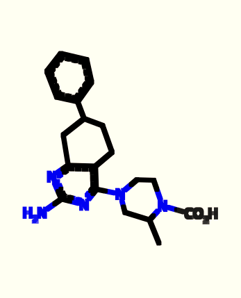 CC1CN(c2nc(N)nc3c2CCC(c2ccccc2)C3)CCN1C(=O)O